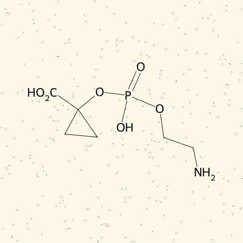 NCCOP(=O)(O)OC1(C(=O)O)CC1